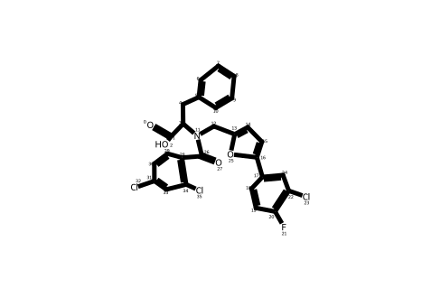 O=C(O)C(Cc1ccccc1)N(Cc1ccc(-c2ccc(F)c(Cl)c2)o1)C(=O)c1ccc(Cl)cc1Cl